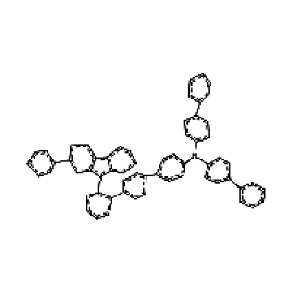 c1ccc(-c2ccc(N(c3ccc(-c4ccccc4)cc3)c3ccc(-c4ccc(-c5ccccc5-n5c6ccccc6c6ccc(-c7ccccc7)cc65)cc4)cc3)cc2)cc1